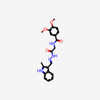 COc1ccc(C(=O)NCC(=O)N/N=C/c2c(C)[nH]c3ccccc23)cc1OC